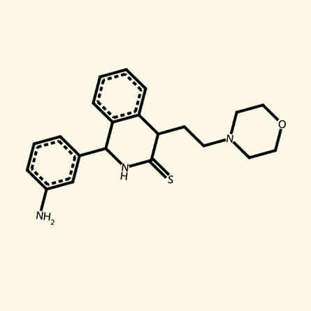 Nc1cccc(C2NC(=S)C(CCN3CCOCC3)c3ccccc32)c1